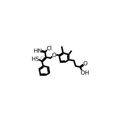 Cc1c(CCC(=O)O)ccc(OC/C(C(=N)Cl)=C(/S)c2ccccc2)c1C